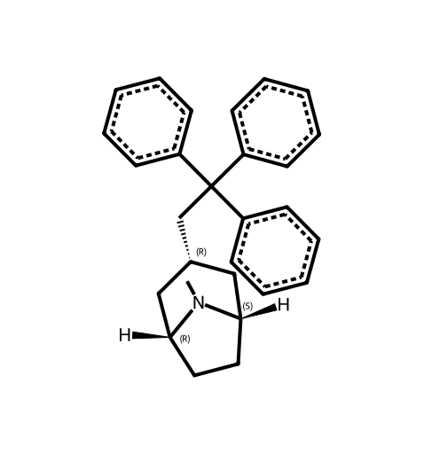 CN1[C@@H]2CC[C@H]1C[C@@H](CC(c1ccccc1)(c1ccccc1)c1ccccc1)C2